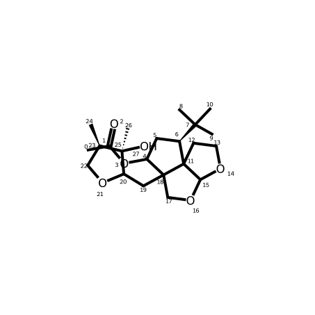 CC(=O)OC1C[C@@H](C(C)(C)C)C23CCOC2OCC13CC1OC[C@@H](C)[C@@]1(C)O